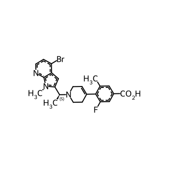 Cc1cc(C(=O)O)cc(F)c1C1=CCN([C@@H](C)c2cc3c(Br)ccnc3n2C)CC1